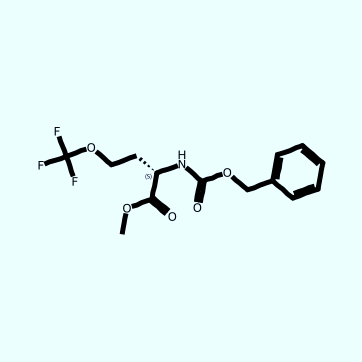 COC(=O)[C@H](CCOC(F)(F)F)NC(=O)OCc1ccccc1